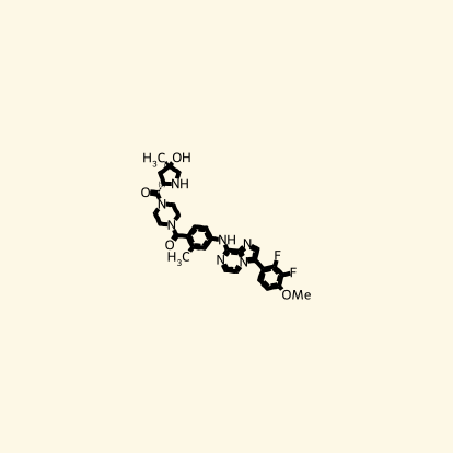 COc1ccc(-c2cnc3c(Nc4ccc(C(=O)N5CCN(C(=O)[C@@H]6C[C@](C)(O)CN6)CC5)c(C)c4)nccn23)c(F)c1F